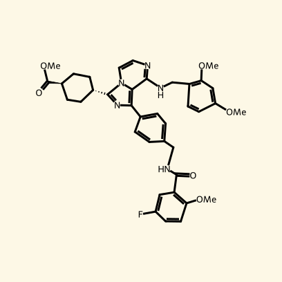 COc1ccc(CNc2nccn3c2c(-c2ccc(CNC(=O)c4cc(F)ccc4OC)cc2)nc3[C@H]2CC[C@H](C(=O)OC)CC2)c(OC)c1